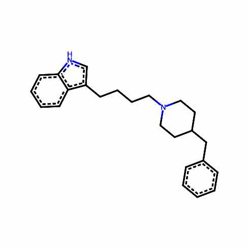 c1ccc(CC2CCN(CCCCc3c[nH]c4ccccc34)CC2)cc1